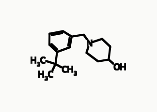 CC(C)(C)c1cccc(CN2CCC(O)CC2)c1